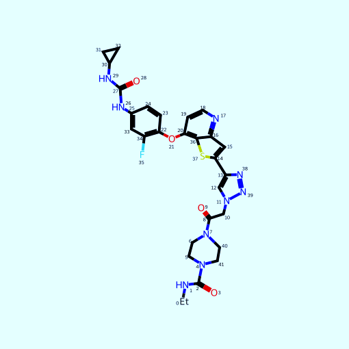 CCNC(=O)N1CCN(C(=O)Cn2cc(-c3cc4nccc(Oc5ccc(NC(=O)NC6CC6)cc5F)c4s3)nn2)CC1